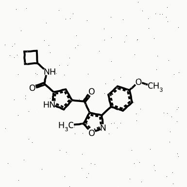 COc1ccc(-c2noc(C)c2C(=O)c2c[nH]c(C(=O)NC3CCC3)c2)cc1